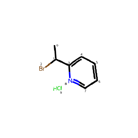 CC(Br)c1ccccn1.Cl